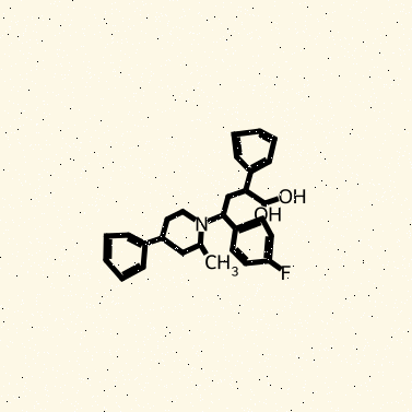 CC1CC(c2ccccc2)CCN1C(CC(c1ccccc1)C(O)O)c1ccc(F)cc1